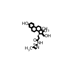 Cc1cnc(NC(=O)CC[C@@H]2C(=CO)C(=O)[C@@]3(C)CCC4c5ccc(O)cc5CCC4C23)s1